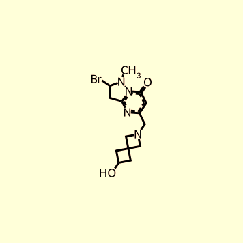 CN1C(Br)Cc2nc(CN3CC4(CC(O)C4)C3)cc(=O)n21